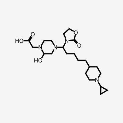 O=C(O)CN1CCN(C(CCCCC2CCN(C3CC3)CC2)N2CCOC2=O)CC1O